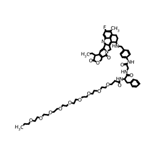 CCCOCCOCCOCCOCCOCCOCCOCCOCCOCCC(=O)NC(Cc1ccccc1)C(=O)NCC(=O)Nc1ccc(CNC2CCc3c(C)c(F)cc4nc5c(c2c34)Cn2c-5cc3c(c2=O)COC(=O)C3CC)cc1